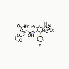 CCS(=O)(=O)Nc1nc(-c2ccc(F)cc2)c(/C=C/[C@@H](O)C[C@H](CC2OCCCO2)OC(=O)C(C)C)c(C(C)C)n1